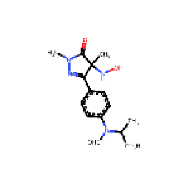 CC(C(=O)O)N(C=O)c1ccc(C2=NN(C)C(=O)C2(C)NO)cc1